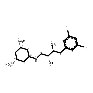 N[C@@H](Cc1cc(F)cc(F)c1)[C@H](O)CNC1C[C@@H](C(=O)O)C[C@@H](C(=O)O)C1